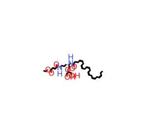 CC/C=C\C/C=C\C/C=C\C/C=C\C/C=C\C/C=C\CCC(=O)N[C@@H](CCCNC(=O)/C=C/C(=O)OCC)C(=O)OC(CO)CO